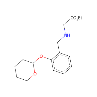 CCOC(=O)CNCc1ccccc1OC1CCCCO1